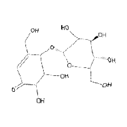 O=C1C=C(CO)C(O[C@H]2OC(CO)[C@@H](O)[C@H](O)C2O)C(O)C1O